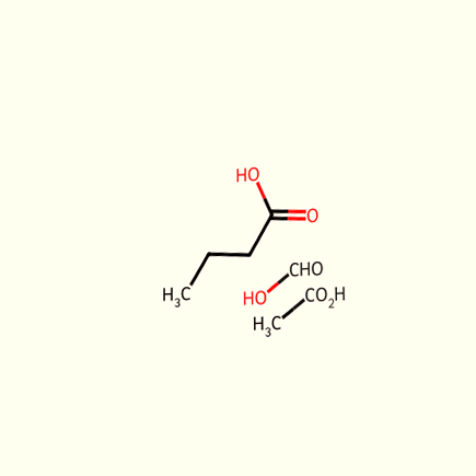 CC(=O)O.CCCC(=O)O.O=CO